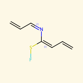 C=C/C=N\C(=C/C=C)SF